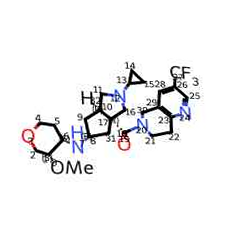 CO[C@@H]1COCC[C@@H]1N[C@@H]1C[C@H]2CN(C3CC3)C[C@@]2(C(=O)N2CCc3ncc(C(F)(F)F)cc3C2)C1